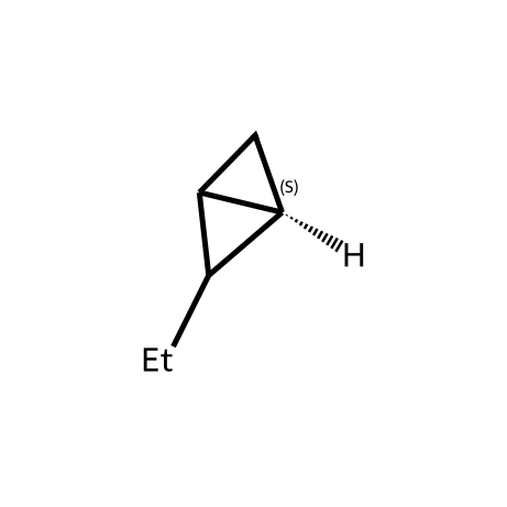 CCC1C2C[C@@H]12